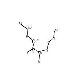 CCCCC(C)N(C)OCCC